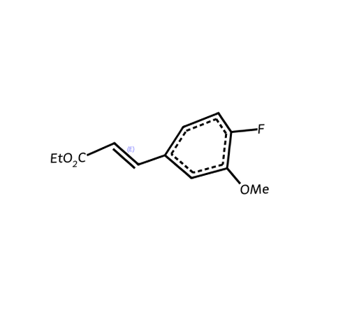 CCOC(=O)/C=C/c1ccc(F)c(OC)c1